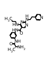 CCCNc1nc(NCCc2ccncc2)ncc1C(=O)Nc1cccc(NC(=O)[C@@H](C)N)c1